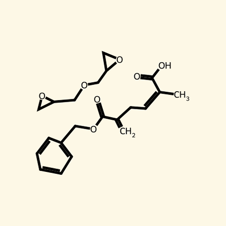 C(OCC1CO1)C1CO1.C=C(CC=C(C)C(=O)O)C(=O)OCc1ccccc1